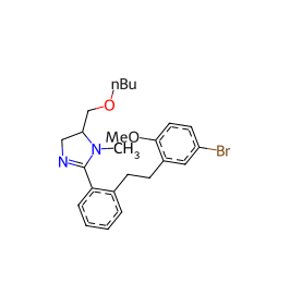 CCCCOCC1CN=C(c2ccccc2CCc2cc(Br)ccc2OC)N1C